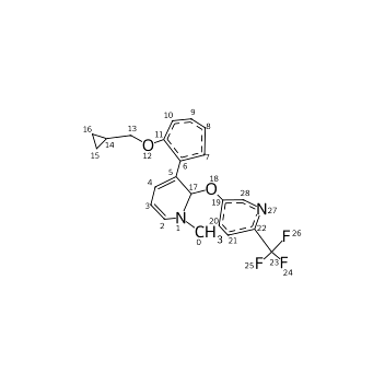 CN1C=CC=C(c2ccccc2OCC2CC2)C1Oc1ccc(C(F)(F)F)nc1